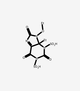 CCON1C(=O)N=C2C(=O)N(S(=O)(=O)O)C(=O)N(S(=O)(=O)O)C21CC